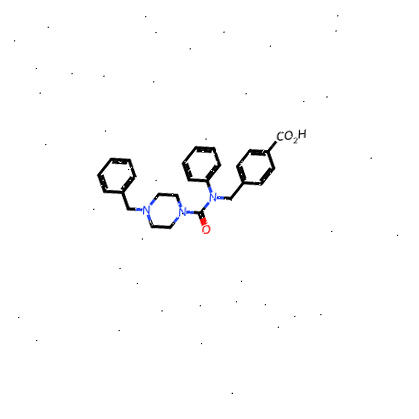 O=C(O)c1ccc(CN(C(=O)N2CCN(Cc3ccccc3)CC2)c2ccccc2)cc1